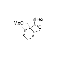 CCCCCCC(=O)C1(COC)C(C)=CCC=C1C